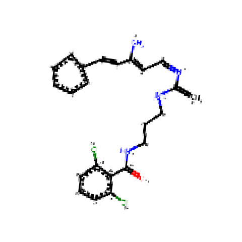 C=C(\N=C/C=C(N)/C=C/c1ccccc1)NCCCNC(=O)c1c(Cl)cccc1Cl